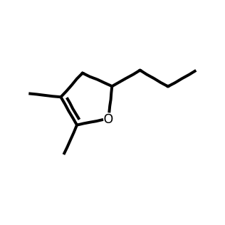 CCCC1CC(C)=C(C)O1